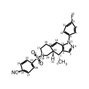 C[C@H]1c2cnn(-c3ccc(F)cc3)c2C=C2CCN(S(=O)(=O)c3ccc(C#N)cc3)C[C@H]21